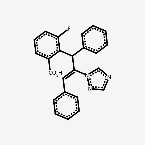 O=C(O)c1cccc(F)c1C(C(=Cc1ccccc1)n1cncn1)c1ccccc1